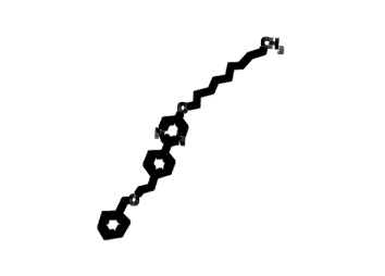 CCCCCCCCCCOc1cnc(-c2ccc(CCOCc3ccccc3)cc2)nc1